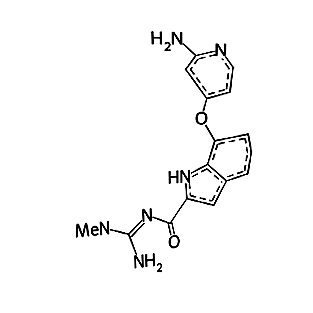 CNC(N)=NC(=O)c1cc2cccc(Oc3ccnc(N)c3)c2[nH]1